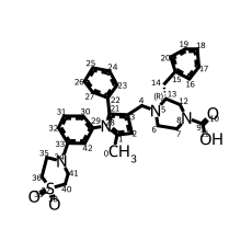 Cc1cc(CN2CCN(C(=O)O)C[C@H]2Cc2ccccc2)c(-c2ccccc2)n1-c1cccc(N2CCS(=O)(=O)CC2)c1